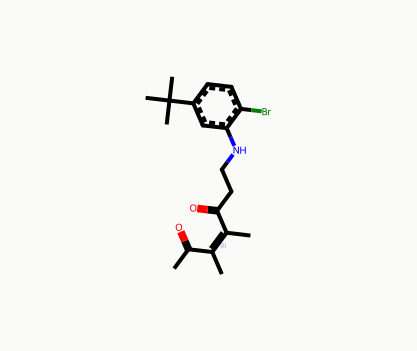 CC(=O)/C(C)=C(/C)C(=O)CCNc1cc(C(C)(C)C)ccc1Br